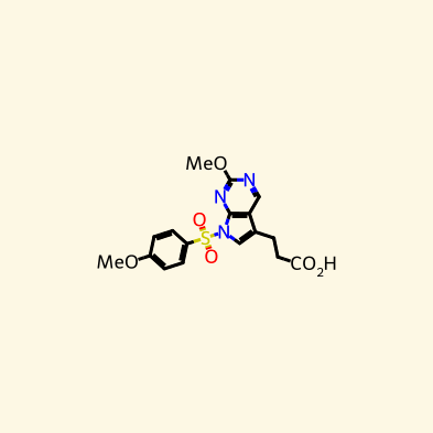 COc1ccc(S(=O)(=O)n2cc(CCC(=O)O)c3cnc(OC)nc32)cc1